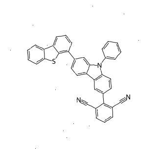 N#Cc1cccc(C#N)c1-c1ccc2c(c1)c1ccc(-c3cccc4c3sc3ccccc34)cc1n2-c1ccccc1